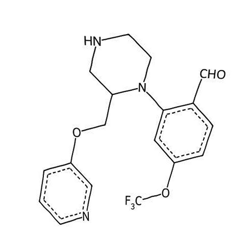 O=Cc1ccc(OC(F)(F)F)cc1N1CCNCC1COc1cccnc1